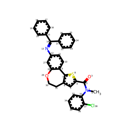 CN(C(=O)c1cc2c(s1)-c1ccc(N=C(c3ccccc3)c3ccccc3)cc1OCC2)c1ccccc1Cl